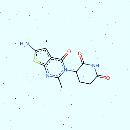 Cc1nc2sc(N)cc2c(=O)n1C1CCC(=O)NC1=O